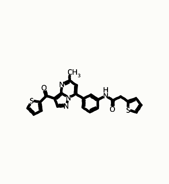 Cc1cc(-c2cccc(NC(=O)Cc3cccs3)c2)n2ncc(C(=O)c3cccs3)c2n1